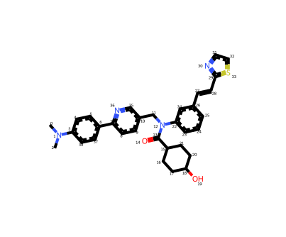 CN(C)c1ccc(-c2ccc(CN(C(=O)C3CCC(O)CC3)c3cccc(C=Cc4nccs4)c3)cn2)cc1